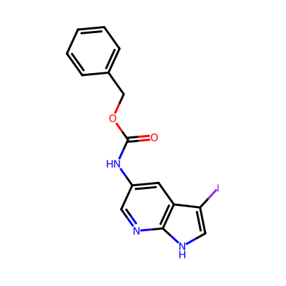 O=C(Nc1cnc2[nH]cc(I)c2c1)OCc1ccccc1